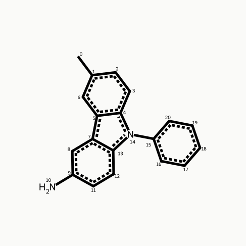 Cc1ccc2c(c1)c1cc(N)ccc1n2-c1ccccc1